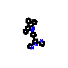 c1ccc(-c2cc3ccccc3c3c2c(-c2ccccc2)nn3-c2ccc(-c3cc(-c4ccccn4)nc(-c4ccccn4)c3)cc2)cc1